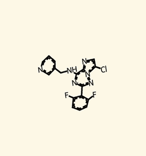 Fc1cccc(F)c1-c1nc(NCc2cccnc2)c2ncc(Cl)n2n1